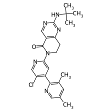 Cc1cnc(-c2cc(N3CCc4nc(NC(C)(C)C)ncc4C3=O)ncc2Cl)c(C)c1